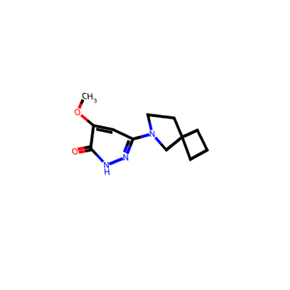 COc1cc(N2CCC3(CCC3)C2)n[nH]c1=O